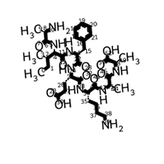 CC[C@H](C)[C@H](NC(=O)[C@H](C)N)C(=O)N[C@@H](Cc1ccccc1)C(=O)N[C@@H](CCC(=O)O)C(=O)N[C@@H](CCCCN)C(=O)N[C@@H](C)C(=O)N[C@@H](C)C(=O)O